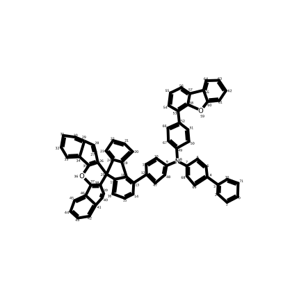 c1ccc(-c2ccc(N(c3ccc(-c4cccc5c4-c4ccccc4C54c5ccc6ccccc6c5Oc5c4ccc4ccccc54)cc3)c3ccc(-c4cccc5c4oc4ccccc45)cc3)cc2)cc1